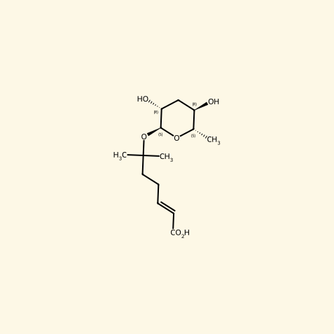 C[C@@H]1O[C@@H](OC(C)(C)CCC=CC(=O)O)[C@H](O)C[C@H]1O